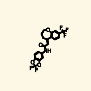 O=C(C=C1CCCOc2cc(C(F)(F)F)ccc21)Nc1ccc2c(c1)OC(F)(F)O2